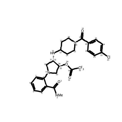 CNC(=O)c1ccccc1N1C[C@H](NC2CCN(C(=O)c3ccc(Cl)cc3)CC2)[C@@H](OC(=O)C(F)(F)F)C1